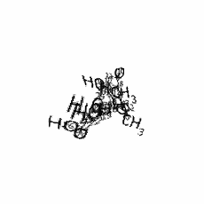 Cc1ccc([C@@H]2CC3=CC(=O)CC[C@]3(C)[C@@H]3[C@@H]2[C@@H]2CC[C@@](O)(CCC(=O)O)[C@@]2(C)C[C@H]3O)o1